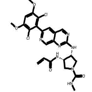 C=CC(=O)N[C@H]1CN(C(=O)NC)C[C@H]1Nc1ncc2cc(-c3c(Cl)c(OC)cc(OC)c3Cl)ncc2n1